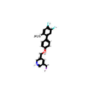 COc1cc(F)c(F)cc1-c1ccc(OCc2cncc(CI)c2)cc1